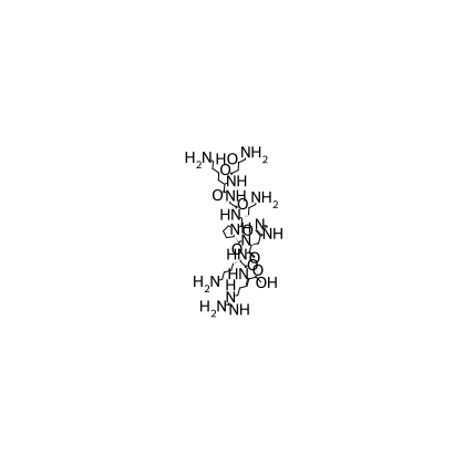 N=C(N)NCC/C=C(\NC(=O)[C@H](CCCCN)NC(=O)[C@H](Cc1cnc[nH]1)NC(=O)[C@@H]1CCCN1C(=O)[C@@H](CCCN)NC(=O)CNC(=O)C(CCCCN)NC(=O)C[C@@H](O)CN)C(=O)O